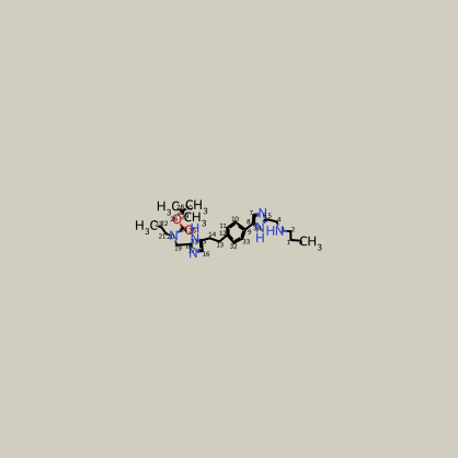 CCCNCc1ncc(-c2ccc(CCc3cnc(CN(CCC)C(=O)OC(C)(C)C)[nH]3)cc2)[nH]1